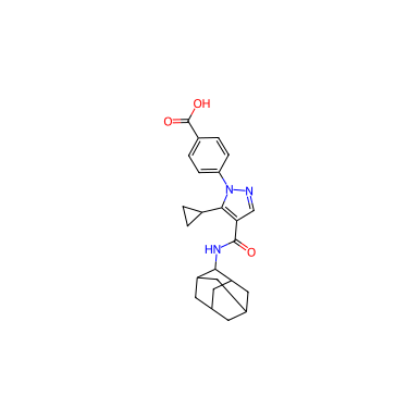 O=C(O)c1ccc(-n2ncc(C(=O)NC3C4CC5CC(C4)CC3C5)c2C2CC2)cc1